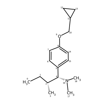 CC[C@@H](C)[C@H](c1ccc(OCC2CC2)cc1)N(C)C